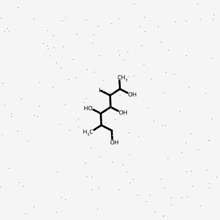 CC(O)C(I)C(O)C(O)C(C)CO